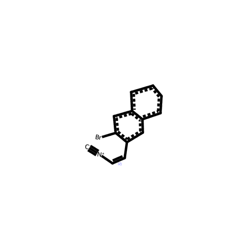 [C-]#[N+]/C=C\c1cc2ccccc2cc1Br